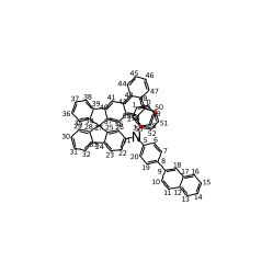 c1ccc(N(c2ccc(-c3ccc4ccccc4c3)cc2)c2ccc3c(c2)C2(c4ccccc4-3)c3ccccc3-c3cc4c5ccccc5c5ccccc5c4cc32)cc1